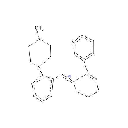 CN1CCN(c2ccccc2/C=C2\CCCN=C2c2cccnc2)CC1